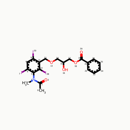 CC(=O)N(C)c1c(I)cc(I)c(COCC(O)COC(=O)c2ccccc2)c1I